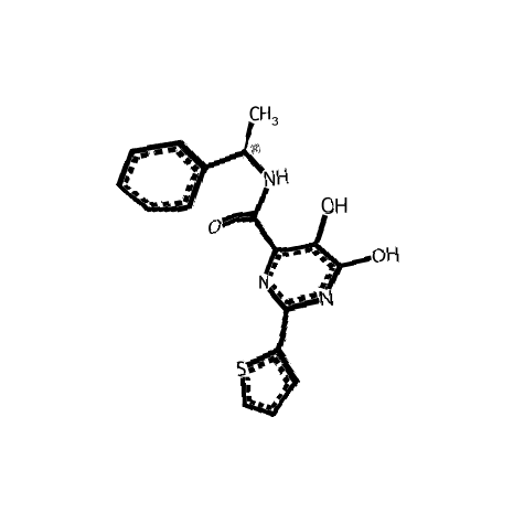 C[C@@H](NC(=O)c1nc(-c2cccs2)nc(O)c1O)c1ccccc1